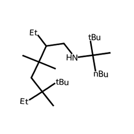 CCCCC(C)(NCC(CC)C(C)(C)CC(C)(CC)C(C)(C)C)C(C)(C)C